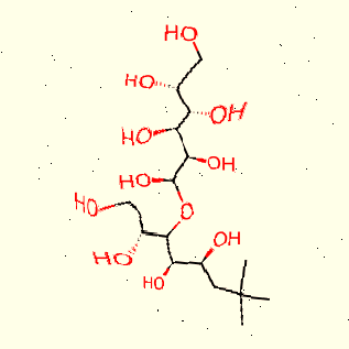 CC(C)(C)C[C@H](O)[C@@H](O)C(O[C@@H](O)[C@H](O)[C@@H](O)[C@@H](O)[C@H](O)CO)[C@H](O)CO